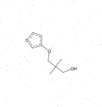 CC(C)(CO)COc1ccoc1